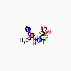 CCc1nc(N2CC3CC(C2)N3CCO)ccc1Nc1ncc(C(F)(F)F)c(-c2cc3c(s2)COCCS3(=O)=O)n1